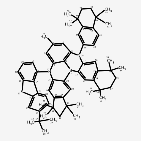 Cc1cc2c3c(c1)N(c1cccc4sc5cc(C(C)(C)C)ccc5c14)c1cc4c(cc1B3c1cc3c(cc1N2c1ccc2c(c1)C(C)(C)CCC2(C)C)C(C)(C)CCC3(C)C)C(C)(C)CC4(C)C